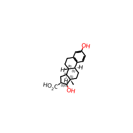 C[C@]12CC[C@@H]3c4ccc(O)cc4CC[C@H]3[C@@H]1C[C@H](C(=O)O)[C@@H]2O